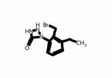 CCc1cccc(-n2[nH][nH]c2=O)c1CBr